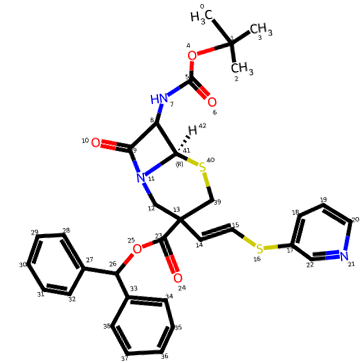 CC(C)(C)OC(=O)NC1C(=O)N2CC(C=CSc3cccnc3)(C(=O)OC(c3ccccc3)c3ccccc3)CS[C@H]12